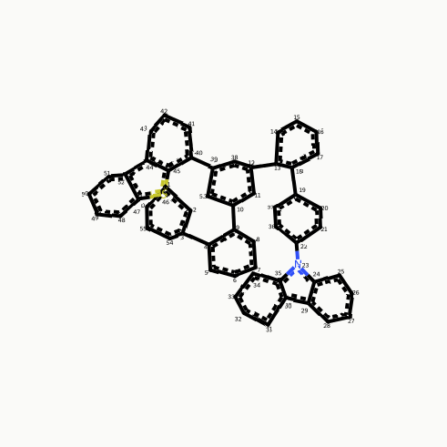 c1ccc(-c2ccccc2-c2cc(-c3ccccc3-c3ccc(-n4c5ccccc5c5ccccc54)cc3)cc(-c3cccc4c3sc3ccccc34)c2)cc1